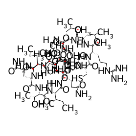 CC[C@H](C)[C@H](NC(=O)[C@H](CC(=O)O)NC(=O)[C@H](CO)NC(=O)[C@@H](NC(=O)[C@H](CC(C)C)NC(=O)[C@H](CC(C)C)NC(=O)[C@H](CCCNC(=N)N)NC(=O)[C@H](CS)NC(=O)[C@H](CCC(N)=O)NC(=O)[C@@H](N)CCCCN)C(C)C)C(=O)N[C@@H](CCC(N)=O)C(=O)N[C@H](C(=O)N[C@H](C(=O)N[C@@H](CCC(N)=O)C(=O)N1CCC[C@H]1C(=O)O)[C@@H](C)CC)[C@@H](C)O